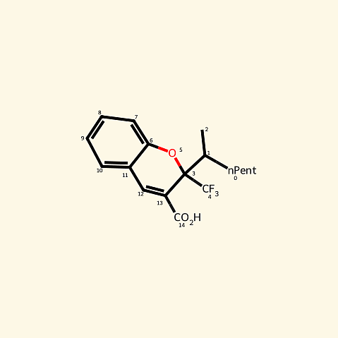 CCCCCC(C)C1(C(F)(F)F)Oc2ccccc2C=C1C(=O)O